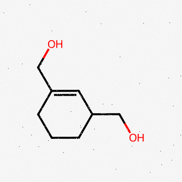 OCC1=CC(CO)CCC1